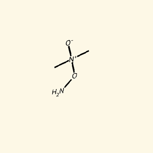 C[N+](C)([O-])ON